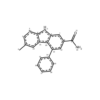 Cc1cnc2[nH]c3cc(C(N)=O)cc(-c4ccccc4)c3c2c1